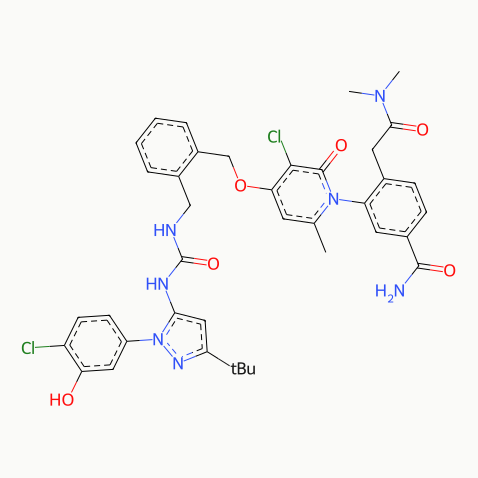 Cc1cc(OCc2ccccc2CNC(=O)Nc2cc(C(C)(C)C)nn2-c2ccc(Cl)c(O)c2)c(Cl)c(=O)n1-c1cc(C(N)=O)ccc1CC(=O)N(C)C